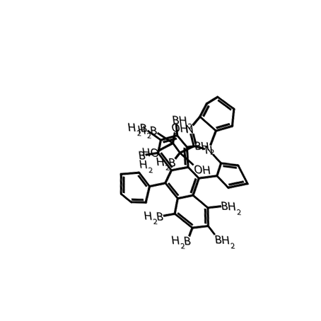 Bc1c(B)c(B)c2c(C3C=CC=C3n3c(C(B)(O)C(B)(O)O)nc4ccccc43)c3c(B)c(B)c(B)c(B)c3c(-c3ccccc3)c2c1B